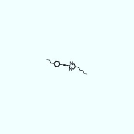 CCCCCc1cnc(C#Cc2ccc(CCC)cc2)nc1